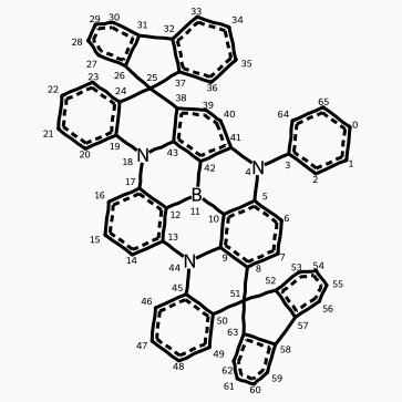 c1ccc(N2c3ccc4c5c3B3c6c(cccc6N6c7ccccc7C7(c8ccccc8-c8ccccc87)c7ccc2c3c76)N5c2ccccc2C42c3ccccc3-c3ccccc32)cc1